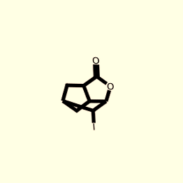 O=C1OC2C(I)C3CC1C2C3